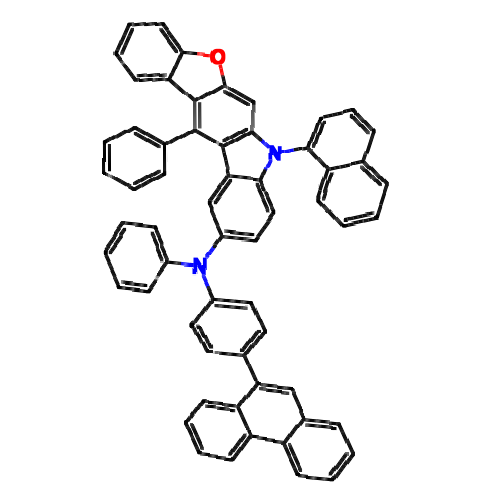 c1ccc(-c2c3c(cc4c2c2cc(N(c5ccccc5)c5ccc(-c6cc7ccccc7c7ccccc67)cc5)ccc2n4-c2cccc4ccccc24)oc2ccccc23)cc1